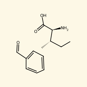 CC[C@H](C)[C@H](N)C(=O)O.O=Cc1ccccc1